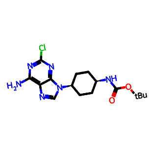 CC(C)(C)OC(=O)N[C@H]1CC[C@@H](n2cnc3c(N)nc(Cl)nc32)CC1